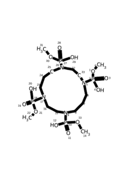 COP(=O)(O)N1CCCN(P(=O)(O)OC)CCN(P(=O)(O)OC)CCCN(P(=O)(O)OC)CC1